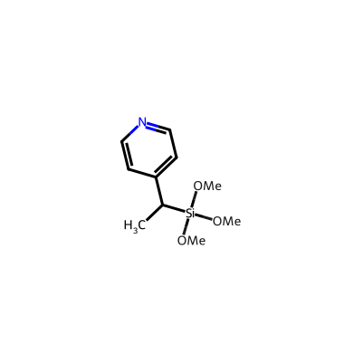 CO[Si](OC)(OC)C(C)c1ccncc1